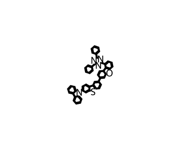 C1=CC2c3c(cccc3-c3nc(-c4ccccc4)nc(-c4ccccc4)n3)OC2C=C1c1ccc2sc3cc(-n4c5ccccc5c5ccccc54)ccc3c2c1